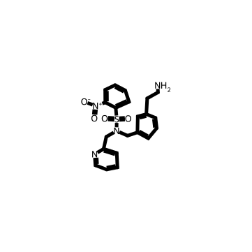 NCCc1cccc(CN(Cc2ccccn2)S(=O)(=O)c2ccccc2[N+](=O)[O-])c1